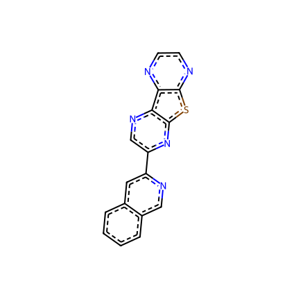 c1ccc2cc(-c3cnc4c(n3)sc3nccnc34)ncc2c1